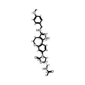 COc1ccc(CNc2n[nH]c3c2CCOc2cc(N4C[C@H](CNC(C)=O)OC4=O)ccc2-3)cc1